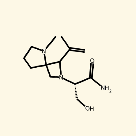 C=C(C)C1N([C@@H](CO)C(N)=O)CC12CCCN2C